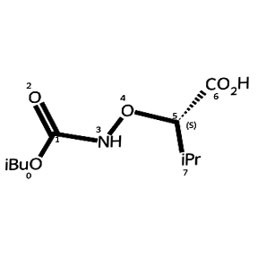 CC(C)COC(=O)NO[C@H](C(=O)O)C(C)C